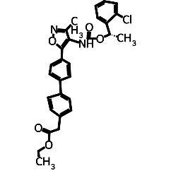 CCOC(=O)Cc1ccc(-c2ccc(-c3onc(C)c3NC(=O)O[C@@H](C)c3ccccc3Cl)cc2)cc1